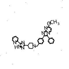 COc1ccn2c(-c3ccccc3)c(-c3ccc(CN4CCC(c5n[nH]c(-c6ccccn6)n5)CC4)cc3)nc2n1